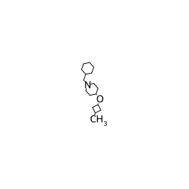 C[C@H]1C[C@H](OC2CCN(CC3CCCCC3)CC2)C1